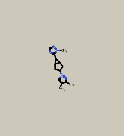 Cc1nn(C2CC3C(C2)C3c2ncnn2C)cc1[N+](=O)[O-]